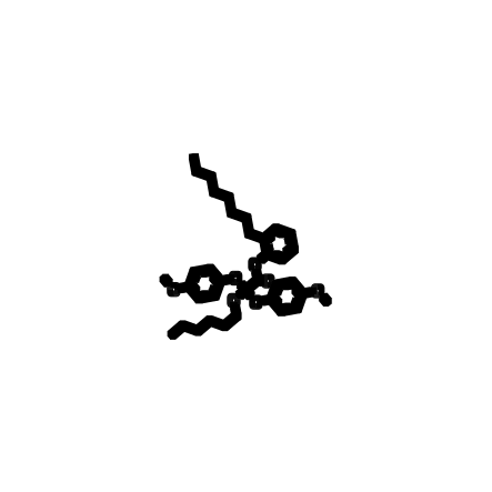 CCCCCCCCc1ccccc1OC(=O)C(OCCCCCC)(Oc1ccc(OC)cc1)Oc1ccc(OC)cc1